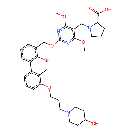 COc1nc(OCc2cccc(-c3cccc(OCCCN4CCC(O)CC4)c3C)c2Br)nc(OC)c1CN1CCC[C@H]1C(=O)O